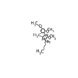 CCCCCNc1nc(CC)c(-c2ccc(OCC)cc2OC)nc1OC